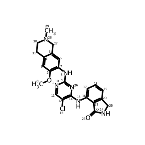 COc1cc2c(cc1Nc1ncc(Cl)c(Nc3cccc4c3C(=O)NC4)n1)CN(C)CC2